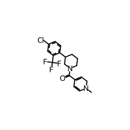 CN1C=CC(C(=O)N2CCCC(c3ccc(Cl)cc3C(F)(F)F)C2)=CC1